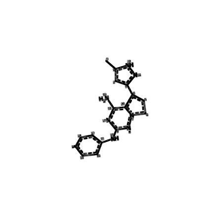 Cc1cc(-c2ccn3nc(Nc4ccccc4)nc(N)c23)n[nH]1